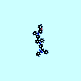 c1ccc(-c2cc(-c3ccc(-n4c5ccccc5c5c(-c6ccc7c(c6)c6ccccc6n7-c6ccc7oc8ccccc8c7c6)cccc54)cc3)nc(-c3ccccc3)n2)cc1